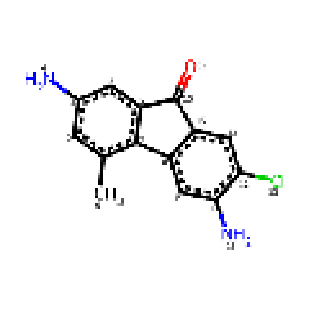 Cc1cc(N)cc2c1-c1cc(N)c(Cl)cc1C2=O